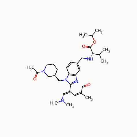 CC(=O)N1CCC[C@@H](Cn2c(C(/C=C(/C)C=O)=C/N(C)C)nc3cc(CN[C@H](C(=O)OC(C)C)C(C)C)ccc32)C1